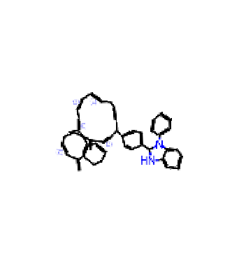 C=C1/C=C\CCC2(C(=C)/C=C\C(c3ccc(C4Nc5ccccc5N4c4ccccc4)cc3)C=CC/C=C/C=C\C=C\2C)C2=C1CCC=C2